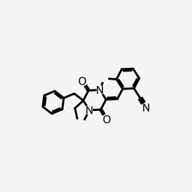 CCC1(Cc2ccccc2)C(=O)N(C)C(=Cc2c(C)cccc2C#N)C(=O)N1C